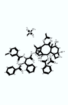 CC(=O)O[C@H]1C(=O)C2(C)C([C@H](OC(=O)c3ccccc3)[C@]3(O)C[C@H](OC(=O)[C@H](OC(=O)c4ccc[n+](C)c4)[C@H](NC(=O)c4ccccc4)c4ccccc4)C(C)=C1C3(C)C)[C@]1(OC(C)=O)CO[C@@H]1C[C@@H]2O.CS(=O)(=O)[O-]